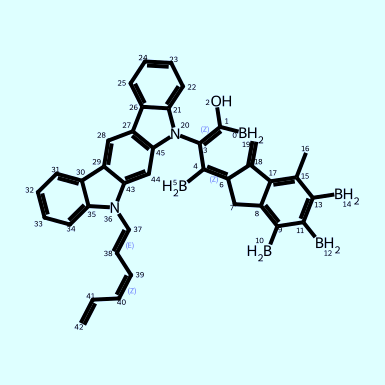 B/C(O)=C(\C(B)=C1\Cc2c(B)c(B)c(B)c(C)c2C1=C)n1c2ccccc2c2cc3c4ccccc4n(/C=C/C=C\C=C)c3cc21